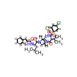 CC(C)CC(NC(=O)c1cc2ccccc2s1)C(=O)N1C[C@@H]2C[C@H]1CN2C(=O)[C@@H](NS(=O)(=O)c1ccc(Cl)cc1Cl)C(C)C